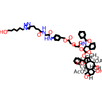 CC(=O)OC[C@@]12CO[C@@H]1C[C@H](O)[C@@]1(C)C(=O)[C@H](OC(C)=O)C3C(C)[C@@H](OC(=O)[C@H](OC(=O)COCC(=O)OCc4ccc(NC(=O)CNC(=O)CCCc5cn(CCCCCCO)nn5)cc4)C(NC(=O)c4ccccc4)c4ccccc4)C(c4ccccc4C(=O)O)[C@@](O)(C[C@H]21)C3(C)C